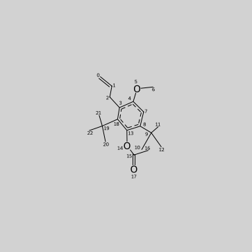 C=CCc1c(OC)cc(C(C)(C)C)c(OC(C)=O)c1C(C)(C)C